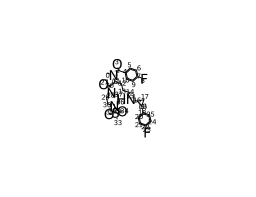 CN(C(=O)c1ccc(F)cc1)[C@@H](CCCNC1C[C@H]1c1ccc(F)cc1)C(=O)N1CCN(S(C)(=O)=O)CC1